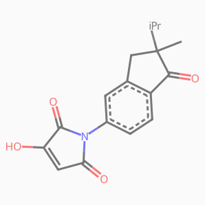 CC(C)C1(C)Cc2cc(N3C(=O)C=C(O)C3=O)ccc2C1=O